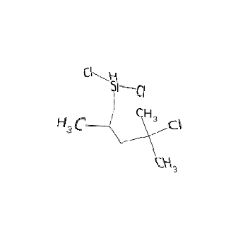 CC(CC(C)(C)Cl)[SiH](Cl)Cl